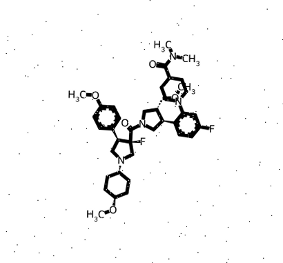 COC[C@H]1CN(C(=O)[C@]2(F)CN([C@H]3CC[C@H](OC)CC3)C[C@H]2c2ccc(OC)cc2)C[C@@H]1c1ccc(F)cc1N1CCC(C(=O)N(C)C)CC1